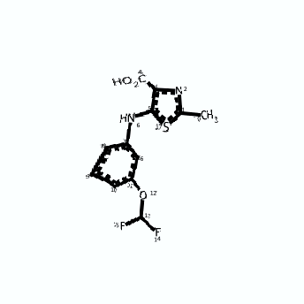 Cc1nc(C(=O)O)c(Nc2cccc(OC(F)F)c2)s1